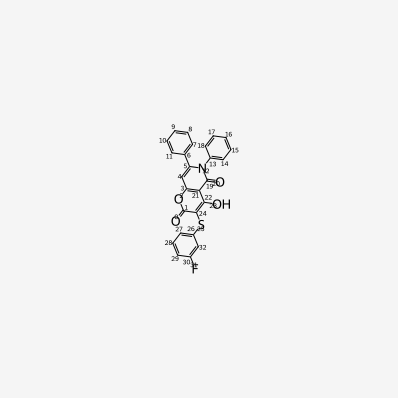 O=c1oc2cc(-c3ccccc3)n(-c3ccccc3)c(=O)c2c(O)c1Sc1cccc(F)c1